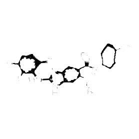 CC(C)Oc1cc2[nH]c(Nc3c(Cl)ccc(Cl)c3F)nc2cc1C(=O)N[C@H]1CC[C@H](C(F)(F)F)CC1